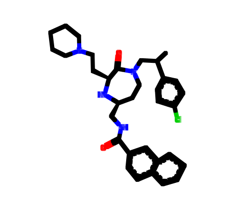 CC(CN1CC[C@@H](CNC(=O)c2ccc3ccccc3c2)N[C@@H](CCN2CCCCC2)C1=O)c1ccc(Cl)cc1